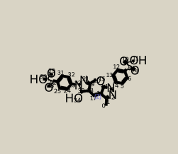 CC1=NN(c2ccc(S(=O)(=O)O)cc2)C(=O)/C1=C\C1C(C)=NN(c2ccc(S(=O)(=O)O)cc2)C1O